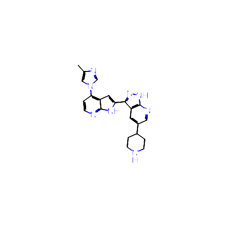 Cc1cn(-c2ccnc3[nH]c(-c4n[nH]c5ncc(C6CCNCC6)cc45)cc23)cn1